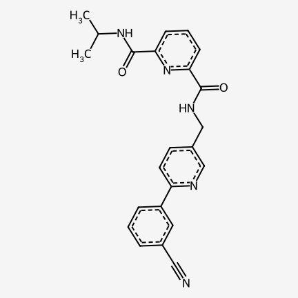 CC(C)NC(=O)c1cccc(C(=O)NCc2ccc(-c3cccc(C#N)c3)nc2)n1